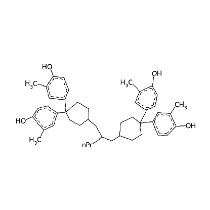 CCCC(CC1CCC(c2ccc(O)c(C)c2)(c2ccc(O)c(C)c2)CC1)CC1CCC(c2ccc(O)c(C)c2)(c2ccc(O)c(C)c2)CC1